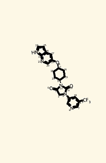 O=C1CN(c2cncc(C(F)(F)F)c2)C(=O)N1[C@H]1CC[C@H](Oc2cnc3[nH]ccc3c2)CC1